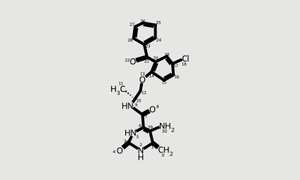 C=C1NC(=O)NC(C(=O)N[C@H](C)COc2ccc(Cl)cc2C(=O)c2ccccc2)=C1N